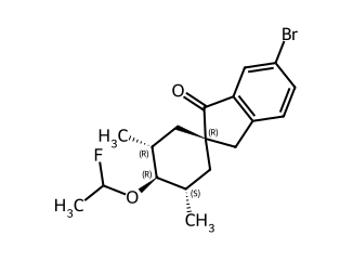 CC(F)O[C@H]1[C@H](C)C[C@@]2(Cc3ccc(Br)cc3C2=O)C[C@@H]1C